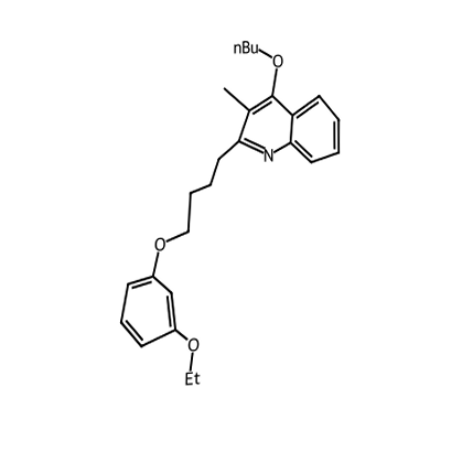 CCCCOc1c(C)c(CCCCOc2cccc(OCC)c2)nc2ccccc12